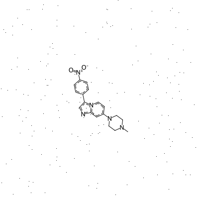 CN1CCN(c2ccn3c(-c4ccc([N+](=O)[O-])cc4)cnc3c2)CC1